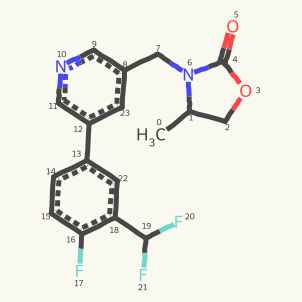 CC1COC(=O)N1Cc1cncc(-c2ccc(F)c(C(F)F)c2)c1